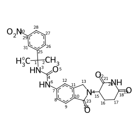 CC(C)(NC(=O)Nc1ccc2c(c1)CN(C1CCC(=O)NC1=O)C2=O)c1cccc([N+](=O)[O-])c1